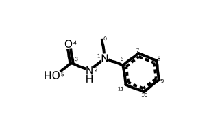 CN(NC(=O)O)c1ccccc1